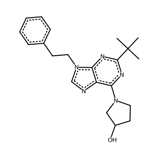 CC(C)(C)c1nc(N2CCC(O)C2)c2ncn(CCc3ccccc3)c2n1